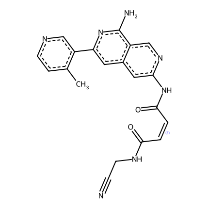 Cc1ccncc1-c1cc2cc(NC(=O)/C=C\C(=O)NCC#N)ncc2c(N)n1